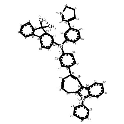 CC1(C)c2ccccc2-c2ccc(N(c3ccc(C4=Cc5c(n(-c6ccccc6)c6ccccc56)CC=C4)cc3)c3cccc(C4=CCCN=C4)c3)cc21